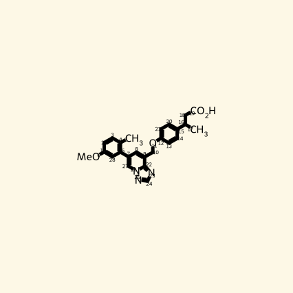 COc1ccc(C)c(-c2cc(COc3ccc(C(C)CC(=O)O)cc3)c3ncnn3c2)c1